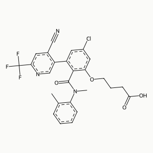 Cc1ccccc1N(C)C(=O)c1c(OCCCC(=O)O)cc(Cl)cc1-c1cnc(C(F)(F)F)cc1C#N